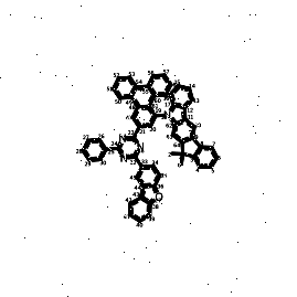 CC1(C)c2ccccc2-c2cc3c4ccccc4n(-c4cc(-c5nc(-c6ccccc6)nc(-c6ccc7oc8ccccc8c7c6)n5)cc5c6ccccc6c6ccccc6c45)c3cc21